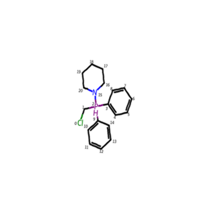 ClC[PH](c1ccccc1)(c1ccccc1)N1CCCCC1